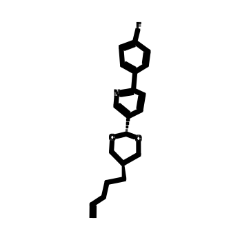 C=CCCC[C@H]1CO[C@H](c2ccc(-c3ccc(F)cc3)nc2)OC1